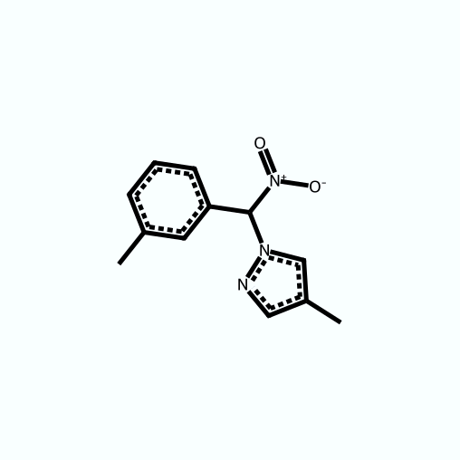 Cc1cccc(C(n2cc(C)cn2)[N+](=O)[O-])c1